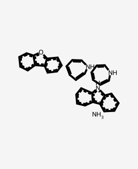 C1=CC=CNC=C1.C1=CC=CNC=C1.N.c1ccc2c(c1)[nH]c1ccccc12.c1ccc2c(c1)oc1ccccc12